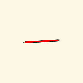 SSSSSSSSSSSSSSSSSSSSSSSSSSSSSSSSSSSSSSSSSSSSSSSSSSSSSSSSSSSSSSSSSSSSSSSSSSSSSSSSSSSSSSSSSS